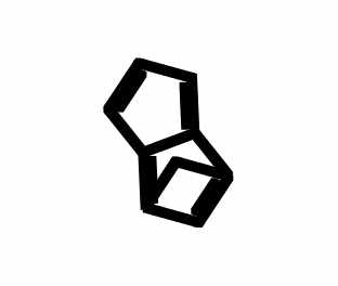 C1=CC2=C3C=C(C3)C2=C1